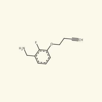 C#CCCOc1cccc(CN)c1F